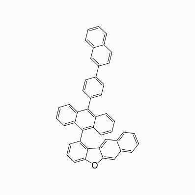 c1ccc2cc(-c3ccc(-c4c5ccccc5c(-c5cccc6oc7cc8ccccc8cc7c56)c5ccccc45)cc3)ccc2c1